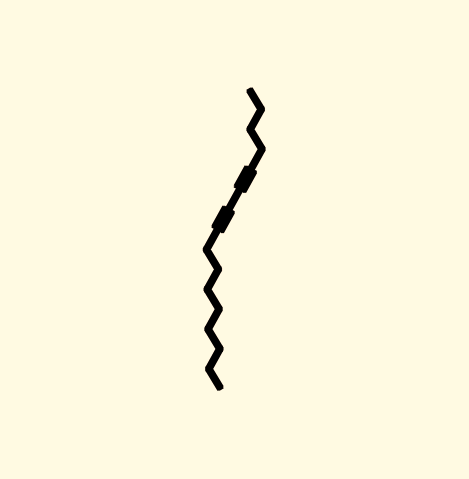 CCCCC#CC#CCCCCCCCC